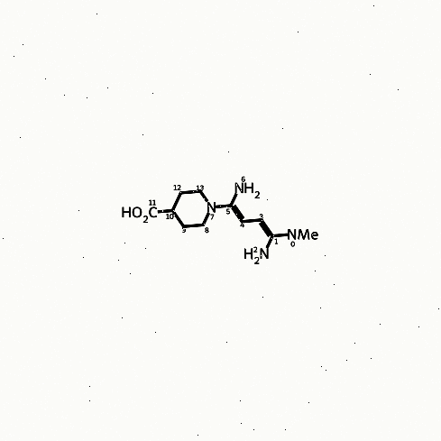 CN/C(N)=C/C=C(\N)N1CCC(C(=O)O)CC1